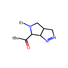 CCN1CC2CN=NC2C1C(=O)C(C)(C)C